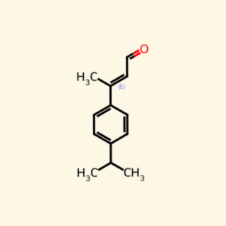 C/C(=C\C=O)c1ccc(C(C)C)cc1